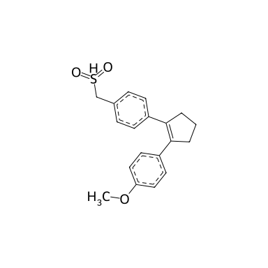 COc1ccc(C2=C(c3ccc(C[SH](=O)=O)cc3)CCC2)cc1